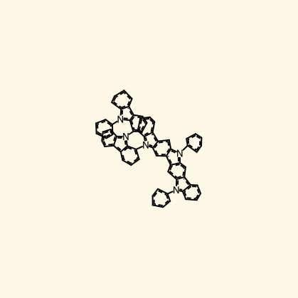 c1ccc(-n2c3ccccc3c3cc4c(cc32)c2cc3c(cc2n4-c2ccccc2)c2ccccc2n3-c2cccc3c4ccccc4n(-c4cccc5c6ccccc6n(-c6ccccc6)c45)c23)cc1